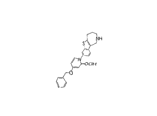 Cl.O=c1cc(OCc2ccccc2)ccn1-c1ccc2c3c(sc2c1)CCCNC3